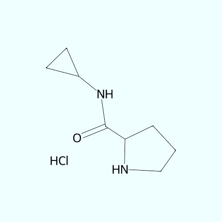 Cl.O=C(NC1CC1)C1CCCN1